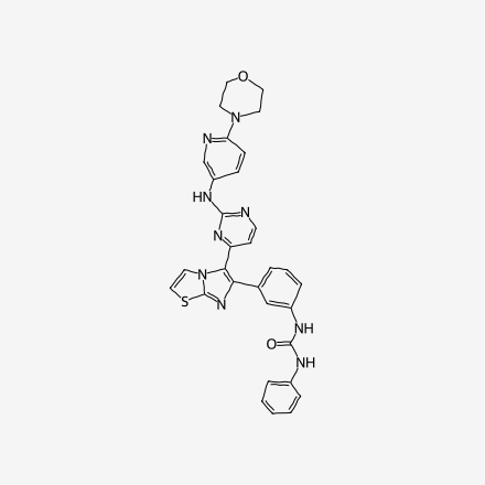 O=C(Nc1ccccc1)Nc1cccc(-c2nc3sccn3c2-c2ccnc(Nc3ccc(N4CCOCC4)nc3)n2)c1